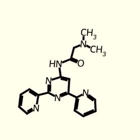 CN(C)CC(=O)Nc1cc(-c2ccccn2)nc(-c2ccccn2)n1